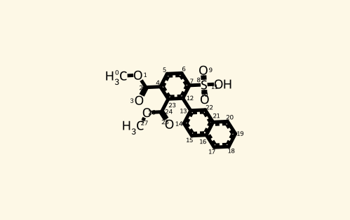 COC(=O)c1ccc(S(=O)(=O)O)c(-c2ccc3ccccc3c2)c1C(=O)OC